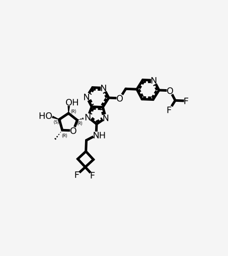 C[C@H]1O[C@@H](n2c(NCC3CC(F)(F)C3)nc3c(OCc4ccc(OC(F)F)nc4)ncnc32)[C@H](O)[C@@H]1O